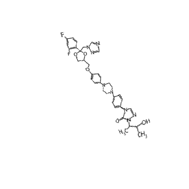 CC(O)C(C)n1ncn(-c2ccc(N3CCN(c4ccc(OCC5COC(Cn6cncn6)(c6ccc(F)cc6F)O5)cc4)CC3)cc2)c1=O